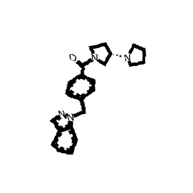 O=C(c1ccc(Cn2ncc3ccccc32)cc1)N1CC[C@H](N2CCCC2)C1